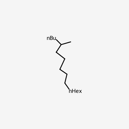 CCCCCCCCCCCC(C)CCCC